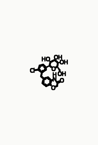 O=C1COc2ccc(Cc3cc([C@@H]4O[C@H](CO)[C@@H](O)[C@H](O)[C@H]4O)ccc3Cl)cc2N1